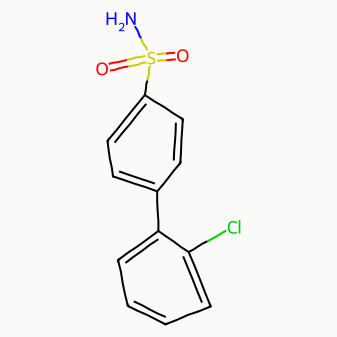 NS(=O)(=O)c1ccc(-c2ccccc2Cl)cc1